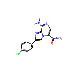 CN(C)c1ncc(C(N)=O)n2cc(-c3ccc(Cl)cc3)nc12